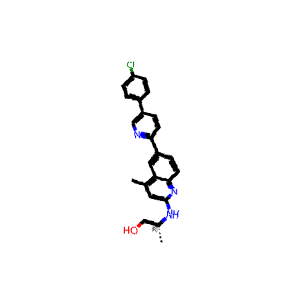 Cc1cc(N[C@H](C)CO)nc2ccc(-c3ccc(-c4ccc(Cl)cc4)cn3)cc12